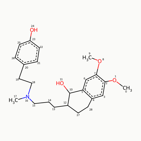 COc1cc2c(cc1OC)C(O)C(CCCN(C)CCc1ccc(O)cc1)CC2